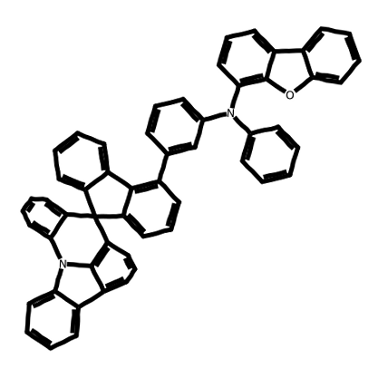 c1ccc(N(c2cccc(-c3cccc4c3-c3ccccc3C43c4ccccc4-n4c5ccccc5c5cccc3c54)c2)c2cccc3c2oc2ccccc23)cc1